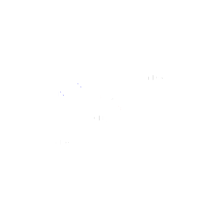 CCCCCCCCCCCCCC(=O)OC(C)C(CCCCCCCCCCCC)C1=NCCN1